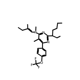 CCCCC(CC)c1nc(-c2ccc(OC(F)(F)F)cc2)c(C)c(N(C)/C=C(\C)CC)n1